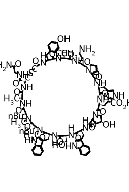 CCCC[C@H]1C(=O)N(C)[C@@H](CCCC)C(=O)N[C@@H](C)C(=O)N[C@H](C(=O)NCC(N)=O)CSCC(=O)NC(Cc2ccc(O)cc2)C(=O)N(C)[C@@H](C)C(=O)N[C@@H](CCN)C(=O)N2CCC[C@H]2C(=O)N[C@@H](Cc2c[nH]cn2)C(=O)N[C@@H](CCC(=O)O)C(=O)N2C[C@H](O)C[C@H]2C(=O)N[C@@H](Cc2c[nH]c3ccccc23)C(=O)N[C@@H](CO)C(=O)N[C@@H](Cc2c[nH]c3ccccc23)C(=O)N1C